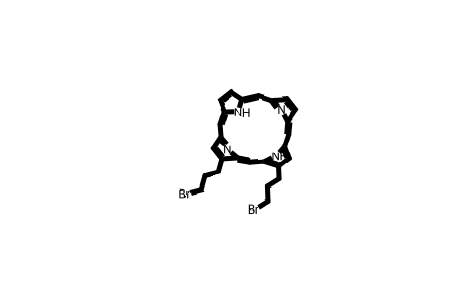 BrCCCC1=Cc2cc3ccc(cc4nc(cc5cc(CCCBr)c(cc1n2)[nH]5)C=C4)[nH]3